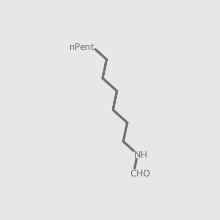 CCCCCCCCCCCNC=O